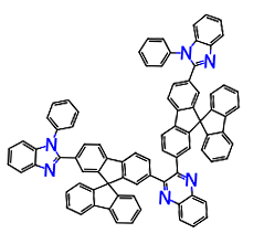 c1ccc(-n2c(-c3ccc4c(c3)C3(c5ccccc5-c5ccccc53)c3cc(-c5nc6ccccc6nc5-c5ccc6c(c5)C5(c7ccccc7-c7ccccc75)c5cc(-c7nc8ccccc8n7-c7ccccc7)ccc5-6)ccc3-4)nc3ccccc32)cc1